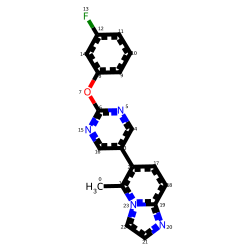 Cc1c(-c2cnc(Oc3cccc(F)c3)nc2)ccc2nccn12